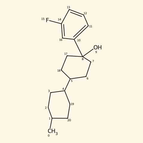 CC1CCC(C2CCC(O)(c3cccc(F)c3)CC2)CC1